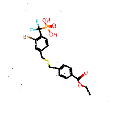 CCOC(=O)c1ccc(CSCc2ccc(C(F)(F)P(=O)(O)O)c(Br)c2)cc1